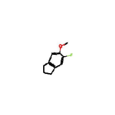 COc1cc2c(cc1F)CCC2